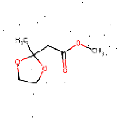 COC(=O)CC1(C)OCCO1